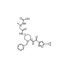 C[C@H](CC(=O)N[C@@H]1CC[C@@H](NC(=O)c2cc(C3CC3)on2)[C@@H](Cc2ccccc2)C1)NC(=O)O